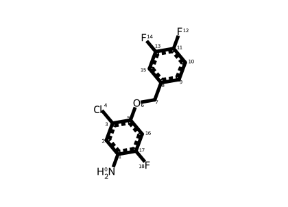 Nc1cc(Cl)c(OCc2ccc(F)c(F)c2)cc1F